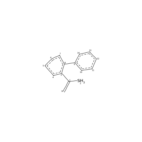 C=C([SiH3])c1ccccc1-c1ccccc1